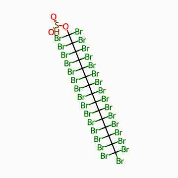 O=[SH](=O)OC(Br)(Br)C(Br)(Br)C(Br)(Br)C(Br)(Br)C(Br)(Br)C(Br)(Br)C(Br)(Br)C(Br)(Br)C(Br)(Br)C(Br)(Br)C(Br)(Br)C(Br)(Br)C(Br)(Br)C(Br)(Br)C(Br)(Br)Br